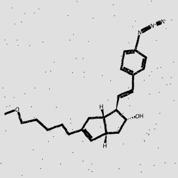 COCCCCCC1=C[C@H]2C[C@@H](O)[C@H](/C=C/c3ccc(N=[N+]=[N-])cc3)[C@H]2C1